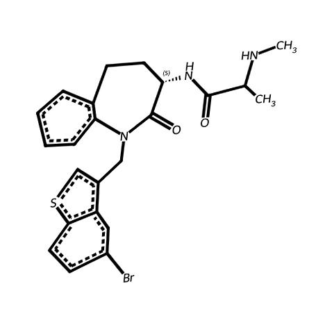 CNC(C)C(=O)N[C@H]1CCc2ccccc2N(Cc2csc3ccc(Br)cc23)C1=O